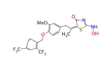 COc1cc(C/C(C)=C2/SC(NO)=NC2=O)ccc1OCc1ccc(C(F)(F)F)cc1C(F)(F)F